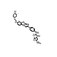 C[C@@H]1CN(CCOc2ccc3c(n2)sc2nc(-c4ccc(NC(=O)Nc5cc(C(C)(C)C)on5)cc4)cn23)CCN1